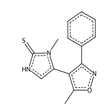 Cc1onc(-c2ccccc2)c1-c1c[nH]c(=S)n1C